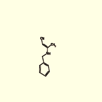 CC(=CC#N)NCc1ccccc1